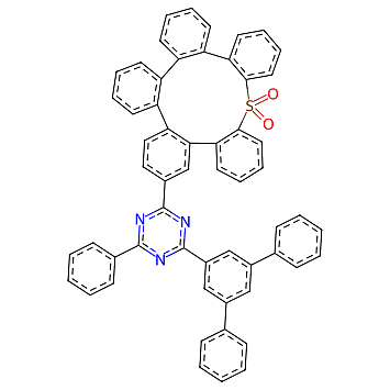 O=S1(=O)c2ccccc2-c2ccccc2-c2ccccc2-c2ccc(-c3nc(-c4ccccc4)nc(-c4cc(-c5ccccc5)cc(-c5ccccc5)c4)n3)cc2-c2ccccc21